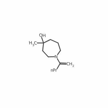 C=C(CCC)N1CCCC(C)(O)CC1